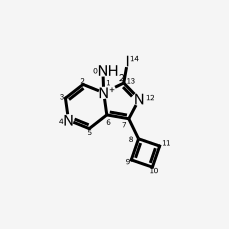 N[N+]12C=CN=CC1=C(C1=CC=C1)N=C2I